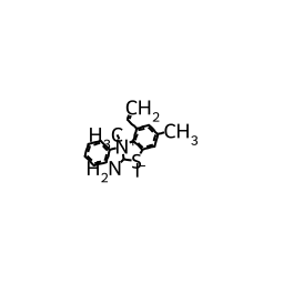 C=Cc1cc(C)cc2c1[N+](C)(c1ccccc1)C(N)S2.[I-]